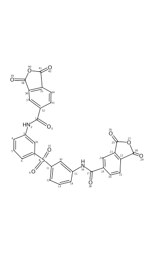 O=C(Nc1cccc(S(=O)(=O)c2cccc(NC(=O)c3ccc4c(c3)C(=O)OC4=O)c2)c1)c1ccc2c(c1)C(=O)OC2=O